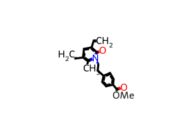 C=Cc1cc(C=C)c(=O)n(CCc2ccc(C(=O)OC)cc2)c1C